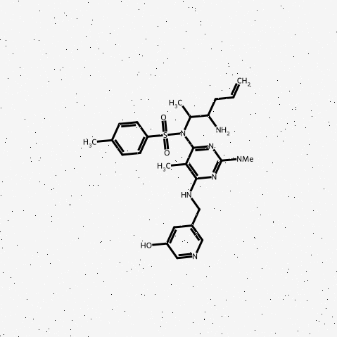 C=CCC(N)C(C)N(c1nc(NC)nc(NCc2cncc(O)c2)c1C)S(=O)(=O)c1ccc(C)cc1